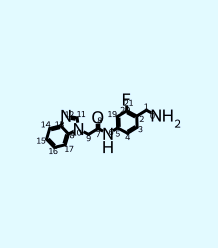 NCc1ccc(NC(=O)Cn2cnc3ccccc32)cc1F